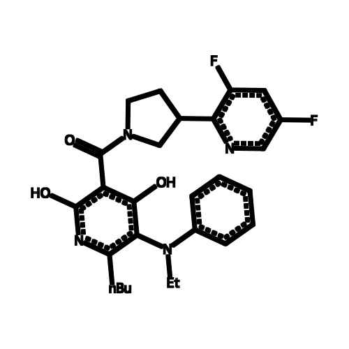 CCCCc1nc(O)c(C(=O)N2CCC(c3ncc(F)cc3F)C2)c(O)c1N(CC)c1ccccc1